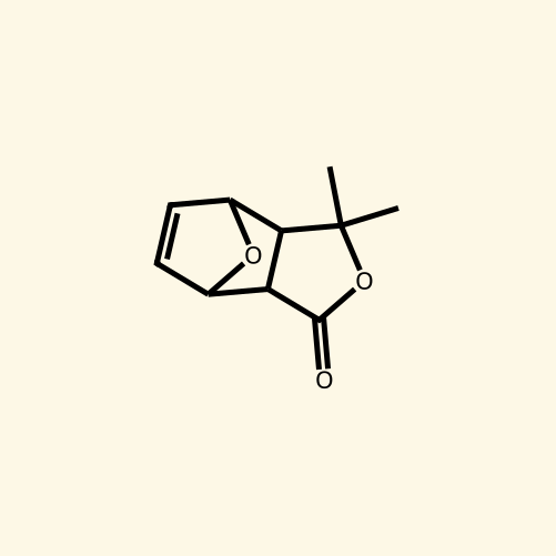 CC1(C)OC(=O)C2C3C=CC(O3)C21